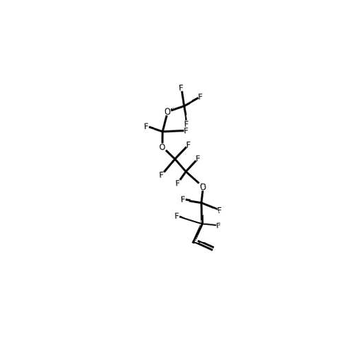 C=CC(F)(F)C(F)(F)OC(F)(F)C(F)(F)OC(F)(F)OC(F)(F)F